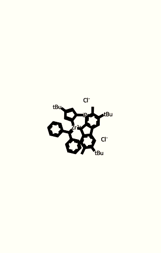 Cc1cc2c(cc1C(C)(C)C)-c1cc(C(C)(C)C)c(C)cc1[CH]2[Zr+2]([C]1=CC(C(C)(C)C)=CC1C(C)C)=[C](c1ccccc1)c1ccccc1.[Cl-].[Cl-]